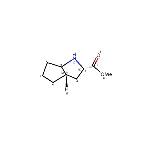 COC(=O)[C@@H]1C[C@@H]2CCCC2N1